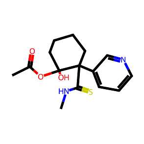 CNC(=S)C1(c2cccnc2)CCCCC1(O)OC(C)=O